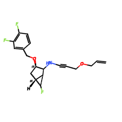 C=CCOCC#CNC1C2C(F)[C@@H]2C[C@H]1OCc1ccc(F)c(F)c1